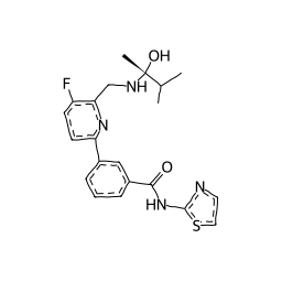 CC(C)[C@@](C)(O)NCc1nc(-c2cccc(C(=O)Nc3nccs3)c2)ccc1F